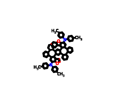 Cc1ccc(N(c2ccc(C)cc2)c2cc3c(c4c2oc2ccccc24)-c2cc4c(cc2-c2ccccc2-c2ccccc2-3)-c2c(cc(N(c3ccc(C)cc3)c3ccc(C)cc3)c3oc5ccccc5c23)-c2ccccc2C2C=CC=CC42)cc1